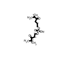 C=C(C)C(=O)CCCOP(=O)(O)OCCC(=O)C(=C)C